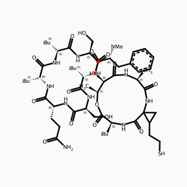 CCC(C)[C@@H]1NC(=O)C2(CC2CCS)NC(=O)[C@H](C)NC(=O)[C@H](NC(=O)[C@H](CO)NC(=O)[C@@H](NC(=O)[C@H](NC(=O)[C@@H](CCC(N)=O)NC(=O)[C@H](CO)NC(=O)[C@@H](NC(=O)[C@@H](Cc2ccccc2)NC)[C@@H](C)CC)[C@@H](C)CC)[C@@H](C)CC)[C@H](C)OC1=O